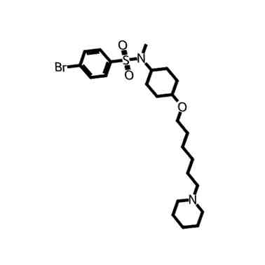 CN(C1CCC(OCCCCCCN2CCCCC2)CC1)S(=O)(=O)c1ccc(Br)cc1